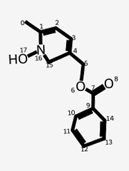 CC1=CC=C(COC(=O)c2ccccc2)CN1O